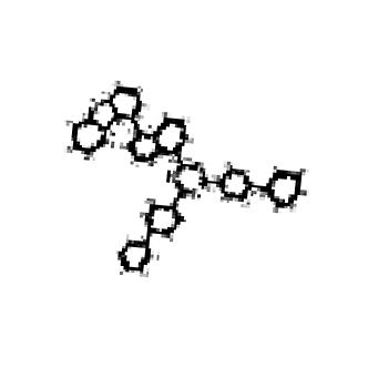 C1=CCC(c2ccc(-c3nc(-c4ccc(-c5ccccc5)cc4)nc(-c4cccc5c(C6=CC=CC7Oc8ccccc8C67)cccc45)n3)cc2)C=C1